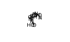 CCN(C)CCC(=O)N1Cc2nc(-c3cccc(-c4cccc(NC(=O)c5nc6c(n5C)CCN(C5CCC(C)(C(=O)O)CC5)C6)c4Cl)c3Cl)oc2C1